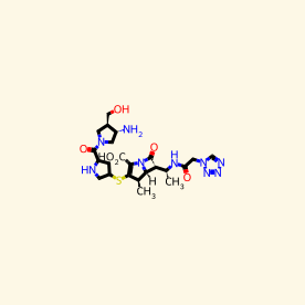 C[C@@H](NC(=O)Cn1cnnn1)[C@H]1C(=O)N2C(C(=O)O)=C(SC3CNC(C(=O)N4C[C@@H](CO)[C@H](N)C4)C3)[C@H](C)[C@H]12